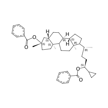 C[C@H](CC[C@H](OC(=O)c1ccccc1)C1CC1)C1CC[C@H]2[C@@H]3CC[C@H]4C[C@@](C)(OC(=O)c5ccccc5)CC[C@]4(C)C3CC[C@]12C